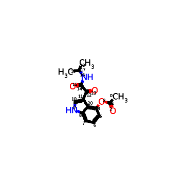 CC(=O)Oc1cccc2[nH]cc(C(=O)C(=O)NC(C)C)c12